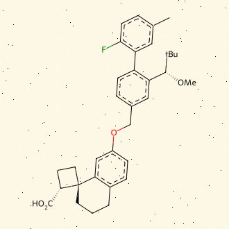 CO[C@H](c1cc(COc2ccc3c(c2)[C@@]2(CCC3)CC[C@H]2C(=O)O)ccc1-c1cc(C)ccc1F)C(C)(C)C